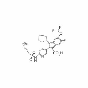 CC(C)(C)C=CCS(=O)(=O)Nc1ccc(-c2c(C(=O)O)c3cc(F)c(OC(F)F)cc3n2C2CCCCC2)cn1